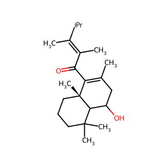 CC1=C(C(=O)/C(C)=C(\C)C(C)C)[C@@]2(C)CCCC(C)(C)C2C(O)C1